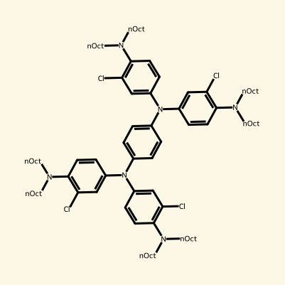 CCCCCCCCN(CCCCCCCC)c1ccc(N(c2ccc(N(c3ccc(N(CCCCCCCC)CCCCCCCC)c(Cl)c3)c3ccc(N(CCCCCCCC)CCCCCCCC)c(Cl)c3)cc2)c2ccc(N(CCCCCCCC)CCCCCCCC)c(Cl)c2)cc1Cl